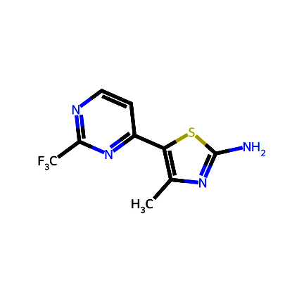 Cc1nc(N)sc1-c1ccnc(C(F)(F)F)n1